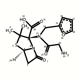 CC1(C)S[C@@H]2CC(=O)N2[C@]1(C(=O)O)N(Cc1ccco1)C(=O)CN